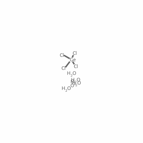 O.O.O.O.O.[Cl][Ge]([Cl])([Cl])[Cl]